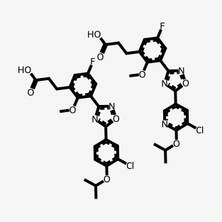 COc1c(CCC(=O)O)cc(F)cc1-c1noc(-c2ccc(OC(C)C)c(Cl)c2)n1.COc1c(CCC(=O)O)cc(F)cc1-c1noc(-c2cnc(OC(C)C)c(Cl)c2)n1